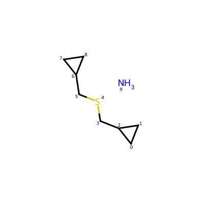 C1CC1CSCC1CC1.N